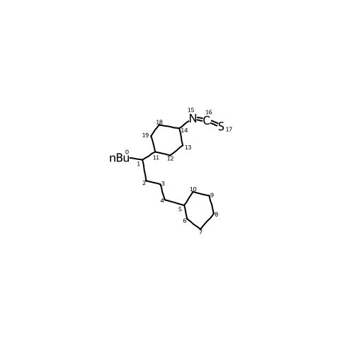 CCCCC(CCCC1CCCCC1)C1CCC(N=C=S)CC1